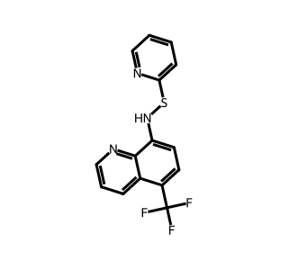 FC(F)(F)c1ccc(NSc2ccccn2)c2ncccc12